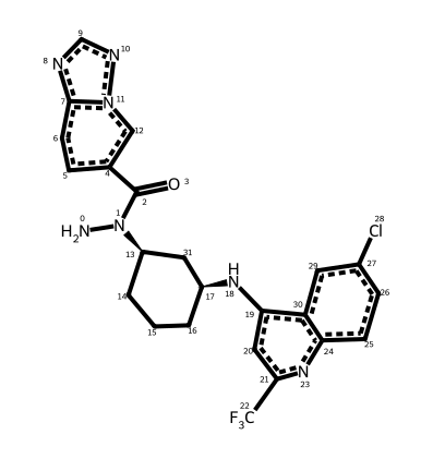 NN(C(=O)c1ccc2ncnn2c1)[C@@H]1CCC[C@H](Nc2cc(C(F)(F)F)nc3ccc(Cl)cc23)C1